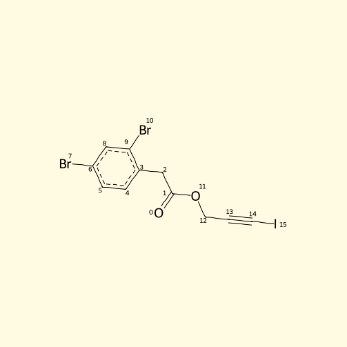 O=C(Cc1ccc(Br)cc1Br)OCC#CI